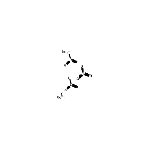 [Gd+3].[La].[O]=[V](=[O])[O-].[O]=[V](=[O])[O-].[O]=[V](=[O])[O-].[Y]